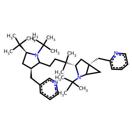 CC(C)(C)[C@@H]1C[C@H](Cc2cccnc2)C(CCC(C)(C)[C@@H]2C[C@@]3(Cc4ccccn4)CC3N2C(C)(C)C)N1C(C)(C)C